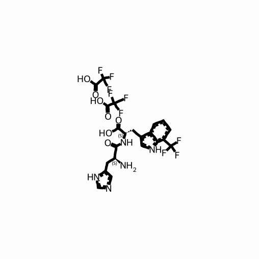 N[C@@H](Cc1cnc[nH]1)C(=O)N[C@@H](Cc1c[nH]c2c(C(F)(F)F)cccc12)C(=O)O.O=C(O)C(F)(F)F.O=C(O)C(F)(F)F